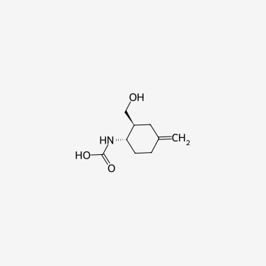 C=C1CC[C@H](NC(=O)O)[C@@H](CO)C1